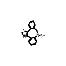 SN1Cc2ccccc2-c2[nH]nnc2-c2ccccc21